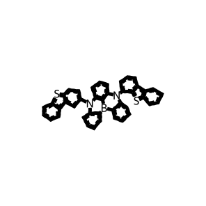 c1ccc2c(c1)B1c3ccccc3N(c3cccc4c3sc3ccccc34)c3cccc(c31)N2c1ccc2sc3ccccc3c2c1